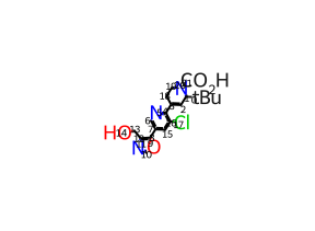 CC(C)(C)C1C=C(c2ncc(-c3ocnc3CO)cc2Cl)CCN1C(=O)O